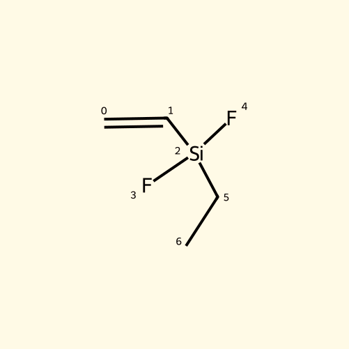 C=C[Si](F)(F)CC